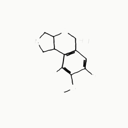 COc1c(Br)cc2c(c1Br)C1CNCC1OC2.Cl